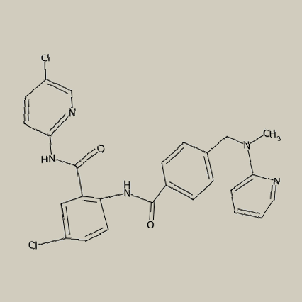 CN(Cc1ccc(C(=O)Nc2ccc(Cl)cc2C(=O)Nc2ccc(Cl)cn2)cc1)c1ccccn1